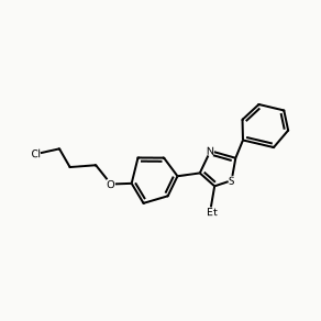 CCc1sc(-c2ccccc2)nc1-c1ccc(OCCCCl)cc1